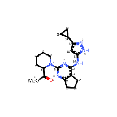 COC(=O)C1CCCCN1c1nc2c(c(Nc3cc(C4CC4)n[nH]3)n1)CCC2